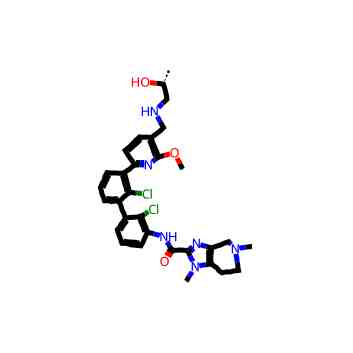 COc1nc(-c2cccc(-c3cccc(NC(=O)c4nc5c(n4C)CCN(C)C5)c3Cl)c2Cl)ccc1CNC[C@@H](C)O